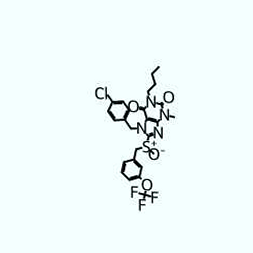 CCCCn1c(=O)c2c(nc([S+]([O-])Cc3cccc(OC(F)(F)F)c3)n2Cc2ccc(Cl)cc2)n(C)c1=O